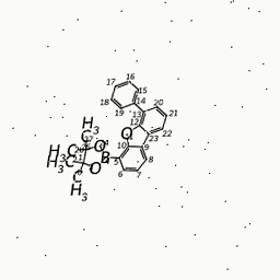 CC1(C)OB(c2cccc3c2oc2c(-c4ccccc4)cccc23)OC1(C)C